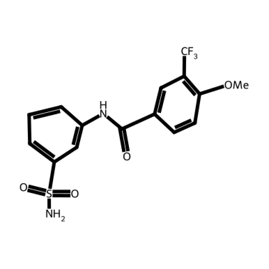 COc1ccc(C(=O)Nc2cccc(S(N)(=O)=O)c2)cc1C(F)(F)F